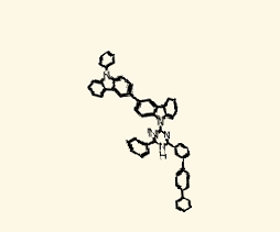 c1ccc(-c2ccc(-c3cccc(C4=NC(n5c6ccccc6c6cc(-c7ccc8c(c7)c7ccccc7n8-c7ccccc7)ccc65)=NC(c5ccccc5)N4)c3)cc2)cc1